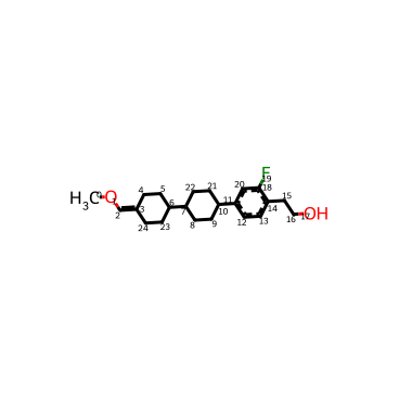 COC=C1CCC(C2CCC(c3ccc(CCO)c(F)c3)CC2)CC1